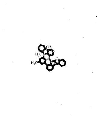 Cc1cc2c3c(c1)N1c4c(cccc4C4(C)CCCCC14C)B3n1c3oc4c(c3c3cccc-2c31)CCC=C4